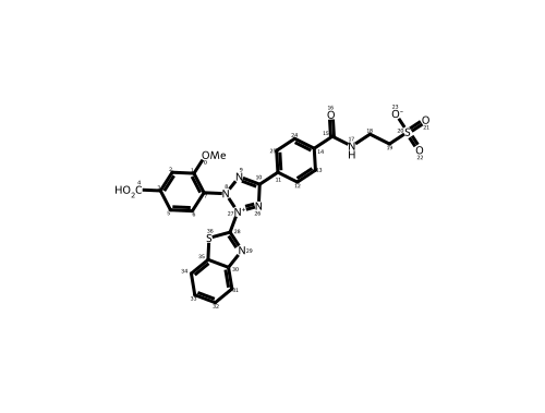 COc1cc(C(=O)O)ccc1-n1nc(-c2ccc(C(=O)NCCS(=O)(=O)[O-])cc2)n[n+]1-c1nc2ccccc2s1